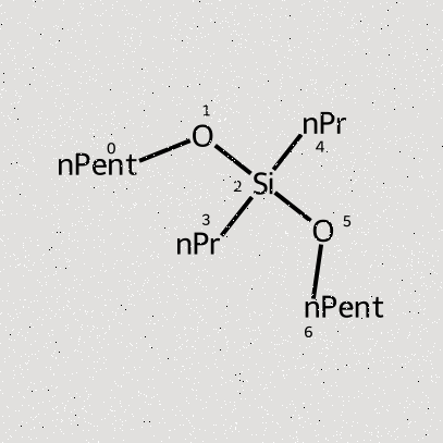 CCCCCO[Si](CCC)(CCC)OCCCCC